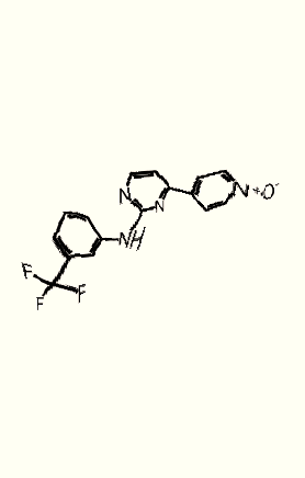 [O-][n+]1ccc(-c2ccnc(Nc3cccc(C(F)(F)F)c3)n2)cc1